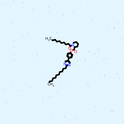 CCCCCCCCCCCc1ncc(-c2ccc(OC(=O)C3CCCCN3C(=O)CCCCCCCCC)cc2)cn1